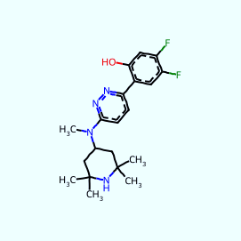 CN(c1ccc(-c2cc(F)c(F)cc2O)nn1)C1CC(C)(C)NC(C)(C)C1